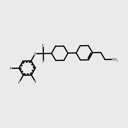 CCCC1=CCC(C2CCC(C(F)(F)Oc3cc(F)c(F)c(F)c3)CC2)CC1